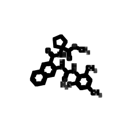 COC(=O)C1(NC(=O)c2cc3ccccc3cc2NC(=O)Nc2c(C)cc(C)cc2C)CCCC1